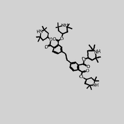 CC1(C)CC(OC(=O)c2ccc(CCc3ccc(C(=O)OC4CC(C)(C)NC(C)(C)C4)c(C(=O)OC4CC(C)(C)NC(C)(C)C4)c3)cc2C(=O)OC2CC(C)(C)NC(C)(C)C2)CC(C)(C)N1